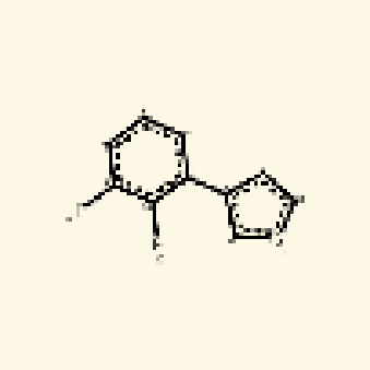 Fc1cccc(-c2ccsc2)c1F